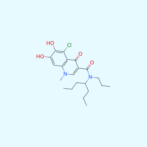 CCCC(CCC)N(CCC)C(=O)c1cn(C)c2cc(O)c(O)c(Cl)c2c1=O